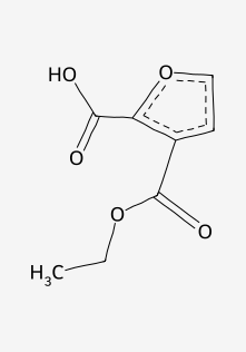 CCOC(=O)c1ccoc1C(=O)O